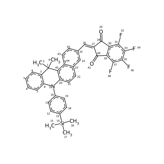 CC1(C)c2ccccc2N(c2ccc([Si](C)(C)C)cc2)c2ccc3cc(C=C4C(=O)c5c(F)c(F)c(F)c(F)c5C4=O)ccc3c21